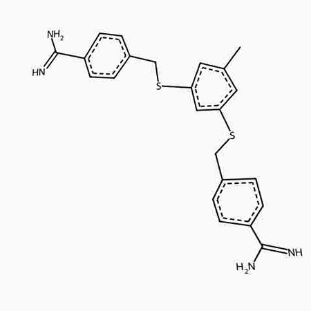 Cc1cc(SCc2ccc(C(=N)N)cc2)cc(SCc2ccc(C(=N)N)cc2)c1